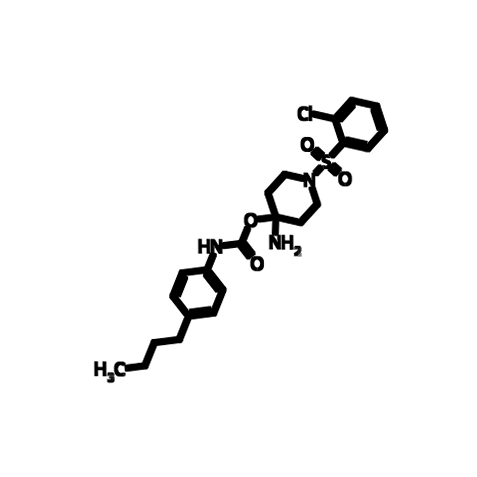 CCCCc1ccc(NC(=O)OC2(N)CCN(S(=O)(=O)c3ccccc3Cl)CC2)cc1